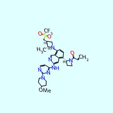 C=CC(=O)N1CC[C@@H]1c1ccc(N2C[C@H](CS(=O)(=O)C(F)(F)F)[C@H]2C)c2cnc(Nc3ccnc(N4CCC(OC)CC4)n3)cc12